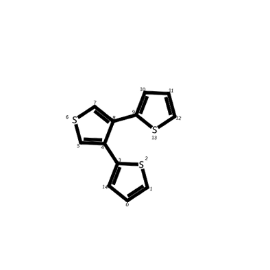 c1csc(-c2cscc2-c2cccs2)c1